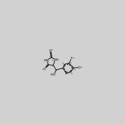 O=C1NC(=O)C(C(O)c2ccc(Cl)c(F)c2)N1